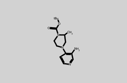 CC1CN(c2ccncc2N)CCN1C(=O)OC(C)(C)C